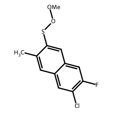 COOSc1cc2cc(F)c(Cl)cc2cc1C